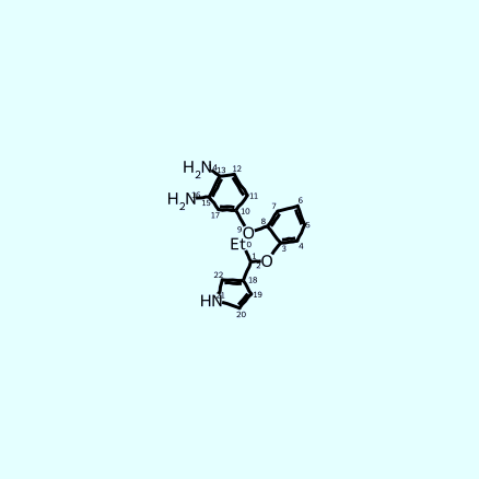 CCC(Oc1ccccc1Oc1ccc(N)c(N)c1)c1cc[nH]c1